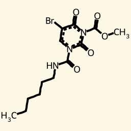 CCCCCCNC(=O)n1cc(Br)c(=O)n(C(=O)OC)c1=O